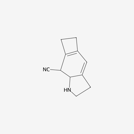 N#CC1C2=C(C=C3CCNC31)CC2